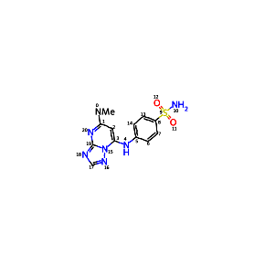 CNc1cc(Nc2ccc(S(N)(=O)=O)cc2)n2ncnc2n1